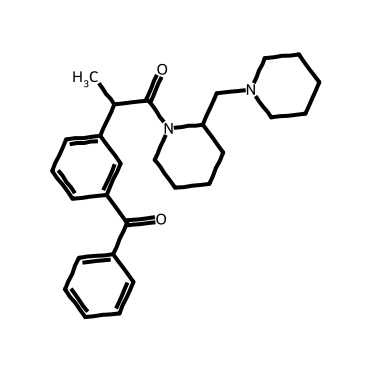 CC(C(=O)N1CCCCC1CN1CCCCC1)c1cccc(C(=O)c2ccccc2)c1